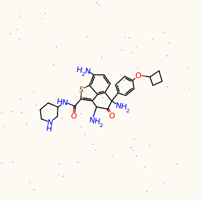 Nc1ccc2c3c(c(C(=O)NC4CCCNC4)sc13)C(N)C(=O)C2(N)c1ccc(OC2CCC2)cc1